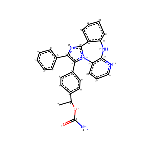 CC(OC(N)=O)c1ccc(-c2c(-c3ccccc3)nc3n2-c2cccnc2Nc2ccccc2-3)cc1